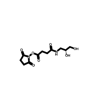 O=C(CCC(=O)ON1C(=O)CCC1=O)NC[C@@H](O)CO